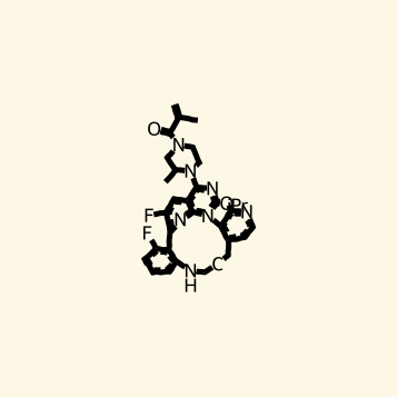 C=C(C)C(=O)N1CCN(c2nc(=O)n3c4nc(c(F)cc24)-c2c(F)cccc2NCCCc2ccnc(C(C)C)c2-3)C(C)C1